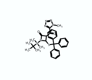 Cn1nnnc1C(=O)C1C(=O)N([Si](C)(C)C(C)(C)C)C1SC(c1ccccc1)(c1ccccc1)c1ccccc1